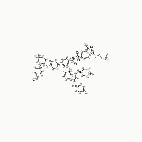 CN(C)CCCNc1ccc(S(=O)(=O)NC(=O)c2ccc(N3CCN(CC4=C(c5ccc(Cl)cc5)CC(C)(C)CC4)CC3)cc2Oc2cccc3c2c(CN2CCN(C)CC2)cn3CN2CCN(C)CC2)cc1[N+](=O)[O-]